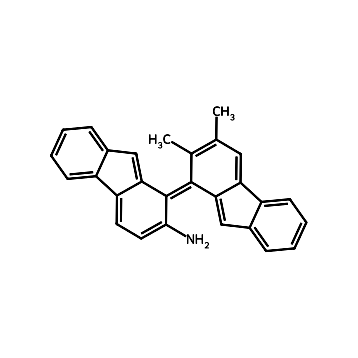 Cc1cc2c(c(=c3c(N)ccc4c3=Cc3ccccc3-4)c1C)=Cc1ccccc1-2